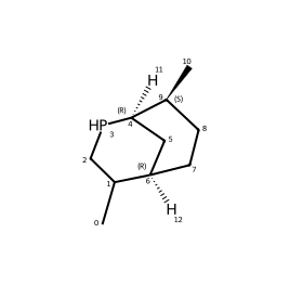 CC1CP[C@@H]2C[C@H]1CC[C@@H]2C